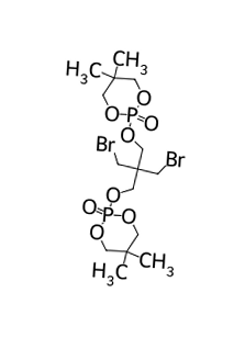 CC1(C)COP(=O)(OCC(CBr)(CBr)COP2(=O)OCC(C)(C)CO2)OC1